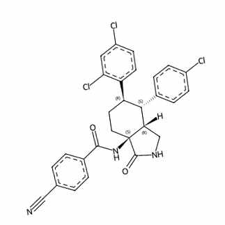 N#Cc1ccc(C(=O)N[C@@]23CC[C@@H](c4ccc(Cl)cc4Cl)[C@H](c4ccc(Cl)cc4)[C@@H]2CNC3=O)cc1